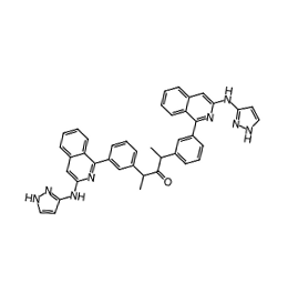 CC(C(=O)C(C)c1cccc(-c2nc(Nc3cc[nH]n3)cc3ccccc23)c1)c1cccc(-c2nc(Nc3cc[nH]n3)cc3ccccc23)c1